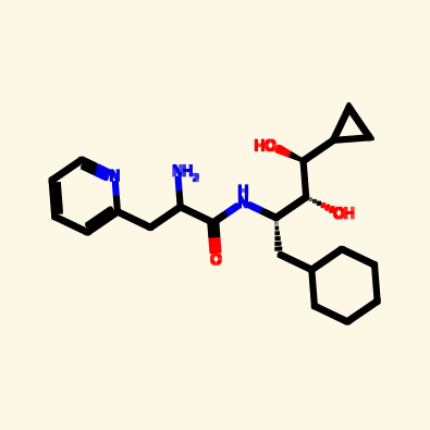 NC(Cc1ccccn1)C(=O)N[C@@H](CC1CCCCC1)[C@@H](O)[C@@H](O)C1CC1